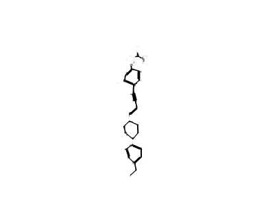 CCc1ccc([C@H]2CC[C@H](/C=C/C#Cc3ccc(OC(F)F)cc3)CC2)cc1